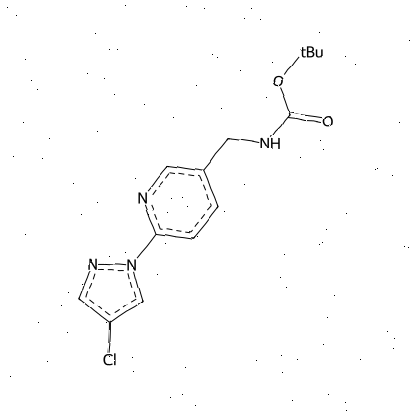 CC(C)(C)OC(=O)NCc1ccc(-n2cc(Cl)cn2)nc1